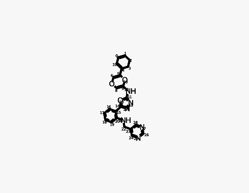 C1=CCCC(C2=COC=C(Nc3nnc(-c4ccccc4NCc4cncnc4)o3)O2)=C1